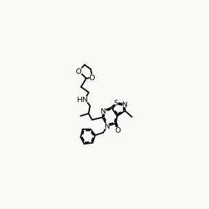 Cc1nsc2nc(CC(C)CNCCC3OCCO3)n(Cc3ccccc3)c(=O)c12